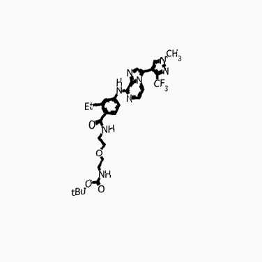 CCc1cc(Nc2nccn3c(-c4cn(C)nc4C(F)(F)F)cnc23)ccc1C(=O)NCCOCCNC(=O)OC(C)(C)C